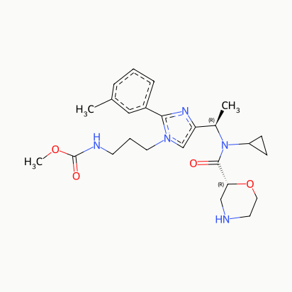 COC(=O)NCCCn1cc([C@@H](C)N(C(=O)[C@H]2CNCCO2)C2CC2)nc1-c1cccc(C)c1